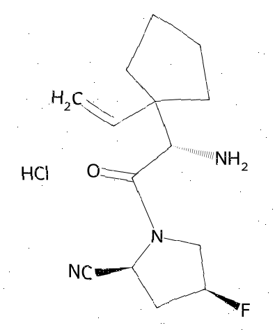 C=CC1([C@H](N)C(=O)N2C[C@@H](F)C[C@H]2C#N)CCCC1.Cl